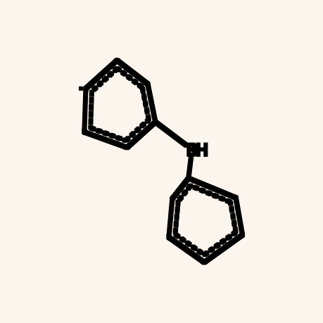 B(c1cc[c]cc1)c1ccccc1